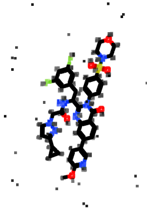 COc1ccc(-c2ccc3c(=O)n(-c4ccc(S(=O)(=O)N5CCOCC5)cc4)c(C(Cc4cc(F)cc(F)c4)NC(=O)Cn4ccc(C5CC5)n4)nc3c2)cn1